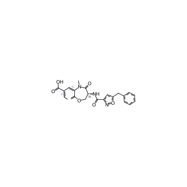 C=C1OC[C@H](NC(=O)c2cc(Cc3ccccc3)on2)C(=O)N(C)/C1=C/C(=C\C)C(=O)O